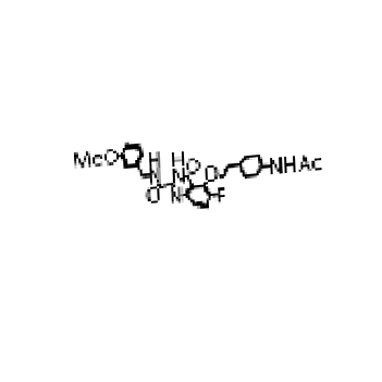 COc1cccc(CNC(=O)c2nc3ccc(F)c(OCCC4CCC(NC(C)=O)CC4)c3c(=O)[nH]2)c1